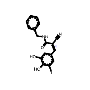 N#C/C(=C/c1cc(O)c(O)c(I)c1)C(=O)NCc1ccccc1